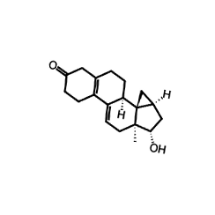 C[C@]12CC=C3C4=C(CC[C@H]3[C@@]13C[C@H]3C[C@@H]2O)CC(=O)CC4